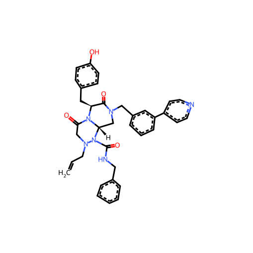 C=CCN1CC(=O)N2[C@@H](Cc3ccc(O)cc3)C(=O)N(Cc3cccc(-c4ccncc4)c3)C[C@@H]2N1C(=O)NCc1ccccc1